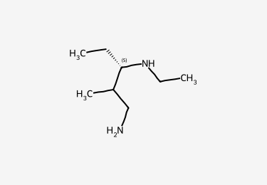 CCN[C@@H](CC)C(C)CN